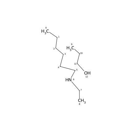 CCCCCCNCC.CCCO